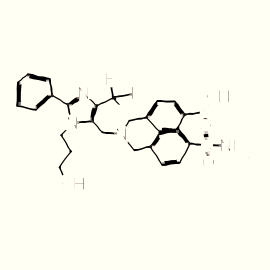 CCCCn1c(-c2ccccc2)nc(C(F)(F)F)c1CN(Cc1ccc(SC)cc1)Cc1ccc(S(N)(=O)=O)cc1